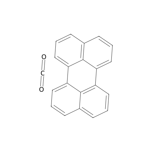 O=C=O.c1cc2cccc3c4cccc5cccc(c(c1)c23)c54